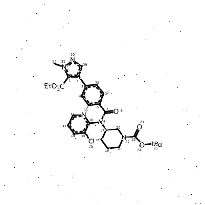 CCOC(=O)c1c(-c2ccc(C(=O)N(c3ncccc3Cl)[C@@H]3CCCN(C(=O)OC(C)(C)C)C3)cc2)cnn1C